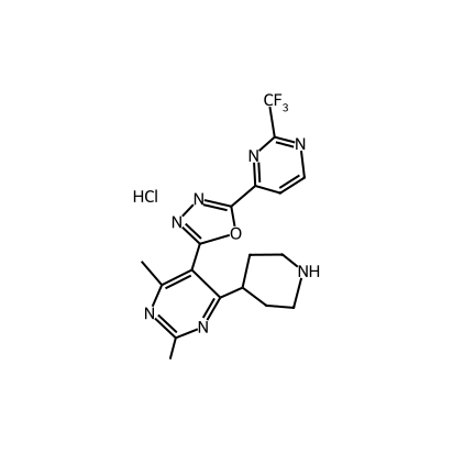 Cc1nc(C)c(-c2nnc(-c3ccnc(C(F)(F)F)n3)o2)c(C2CCNCC2)n1.Cl